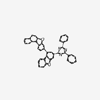 c1ccc(-c2nc(-c3ccccc3)nc(-c3cc(-c4ccc5c(c4)oc4ccc6ccccc6c45)c4c(c3)oc3ccccc34)n2)cc1